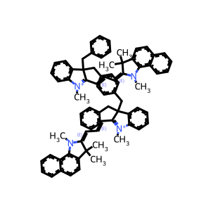 CN1/C(=C/C=C/C2=[N+](C)c3ccccc3C2(Cc2ccccc2)Cc2ccc(CC3(Cc4ccccc4)C(/C=C/C=C4/N(C)c5c(ccc6ccccc56)C4(C)C)=[N+](C)c4ccccc43)cc2)C(C)(C)c2ccc3ccccc3c21